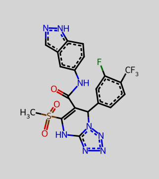 CS(=O)(=O)C1=C(C(=O)Nc2ccc3[nH]ncc3c2)C(c2ccc(C(F)(F)F)c(F)c2)n2nnnc2N1